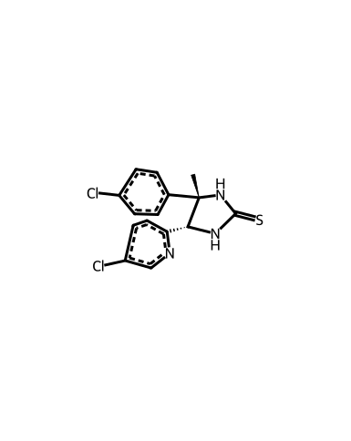 C[C@@]1(c2ccc(Cl)cc2)NC(=S)N[C@@H]1c1ccc(Cl)cn1